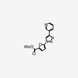 COC(=O)c1ccc(-n2cc(-c3cccnc3)nn2)o1